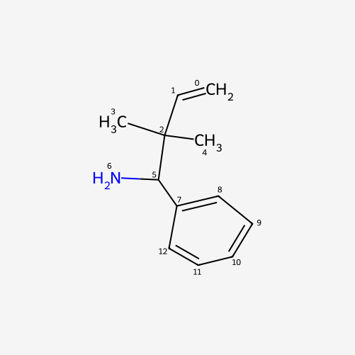 C=CC(C)(C)C(N)c1ccccc1